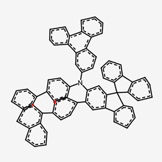 c1ccc(-c2ccc(N(c3ccc4c5ccccc5c5ccccc5c4c3)c3cc4c(cc3-c3ccc(-c5cccc6ccccc56)cc3)-c3ccccc3C43c4ccccc4-c4ccccc43)cc2)cc1